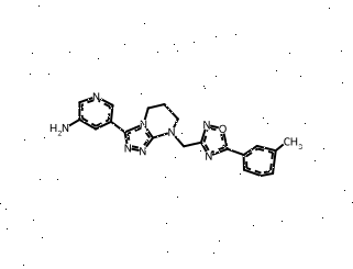 Cc1cccc(-c2nc(CN3CCCn4c(-c5cncc(N)c5)nnc43)no2)c1